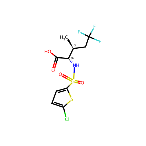 C[C@@H](CC(F)(F)F)[C@H](NS(=O)(=O)c1ccc(Cl)s1)C(=O)O